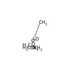 CCCCCCCCCCCCC([C]=O)Oc1ccc(OC)c(C(C)(C)C)c1